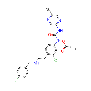 N#Cc1cnc(NC(=O)N(OC(=O)C(F)(F)F)c2ccc(CCNCc3ccc(F)cc3)c(Cl)c2)cn1